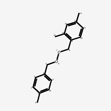 Cc1ccc(COOCc2ccc(C)cc2C)cc1